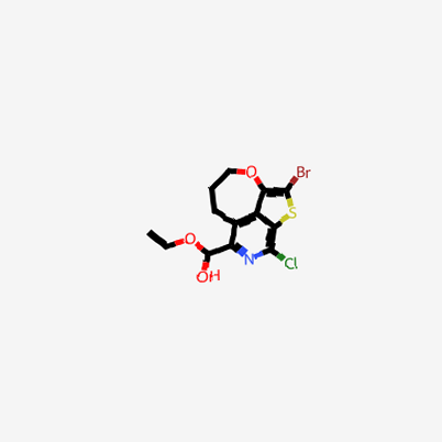 CCOC(O)c1nc(Cl)c2sc(Br)c3c2c1CCCO3